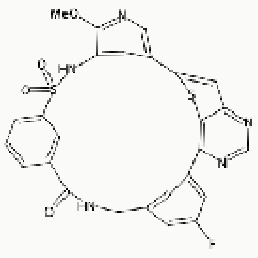 COc1ncc2cc1NS(=O)(=O)c1cccc(c1)C(=O)NCc1cc(F)cc(c1)-c1ncnc3cc-2sc13